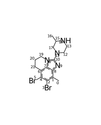 Cc1c(Br)c(Br)c2c3c1nc(N1CCNC(C)C1)n3CCC2